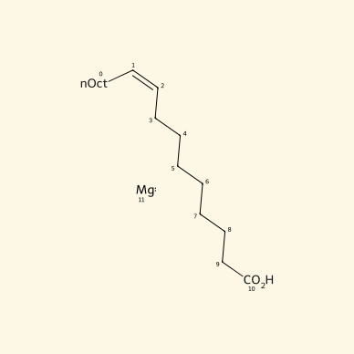 CCCCCCCC/C=C\CCCCCCCC(=O)O.[Mg]